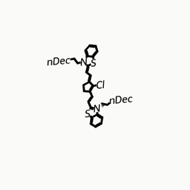 CCCCCCCCCCCCN1/C(=C/C=C2\CCC(/C=C/c3sc4ccccc4[n+]3CCCCCCCCCCCC)=C2Cl)Sc2ccccc21